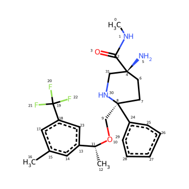 CNC(=O)[C@]1(N)CC[C@@](CO[C@H](C)c2cc(C)cc(C(F)(F)F)c2)(c2ccccc2)NC1